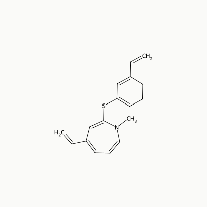 C=CC1=CC=CN(C)C(SC2=CCCC(C=C)=C2)=C1